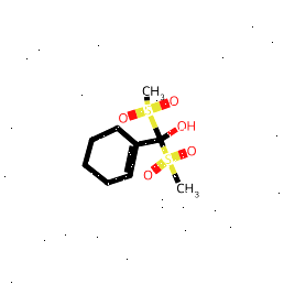 CS(=O)(=O)C(O)(C1=CCCCC1)S(C)(=O)=O